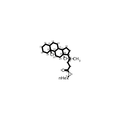 CCCCCCOC(=O)CC[C@@H](C)C1CCC2C3CCC4CCCCC4(C)C3CC[C@@]21C